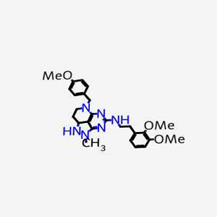 COc1ccc(CN2CCC3NN(C)c4nc(NCCc5cccc(OC)c5OC)nc2c43)cc1